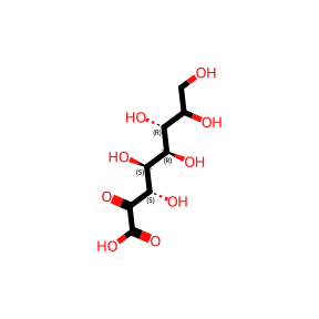 O=C(O)C(=O)[C@@H](O)[C@@H](O)[C@H](O)[C@H](O)C(O)CO